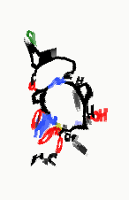 COC[C@]1(C)C/C=C/[C@H](O)[C@@H]2CC[C@H]2CN2CCCCc3cc(Cl)ccc3COc3ccc(cc32)C(=O)NS1(=O)=O